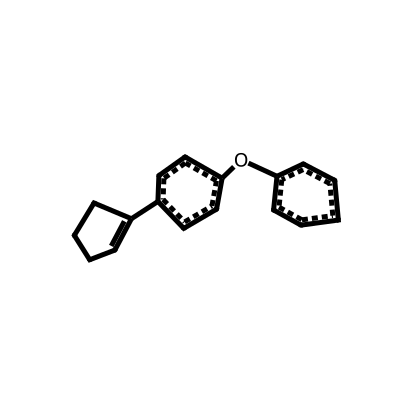 C1=C(c2ccc(Oc3ccccc3)cc2)CCC1